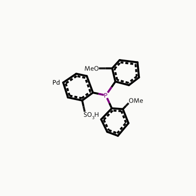 COc1ccccc1P(c1ccccc1OC)c1ccccc1S(=O)(=O)O.[Pd]